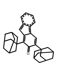 O=C1C(C23CC4CC(CC(C4)C2)C3)=CC2=c3ccccc3=CC2=C1C12CC3CC(CC(C3)C1)C2